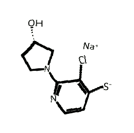 O[C@H]1CCN(c2nccc([S-])c2Cl)C1.[Na+]